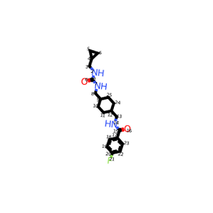 O=C(NCC1CC1)NCC1CCC(CNC(=O)c2ccc(F)cc2)CC1